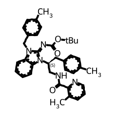 Cc1ccc(C[C@@H](CNC(=O)c2ncccc2C)n2c(=NC(=O)OC(C)(C)C)n(Cc3ccc(C)cc3)c3ccccc32)cc1